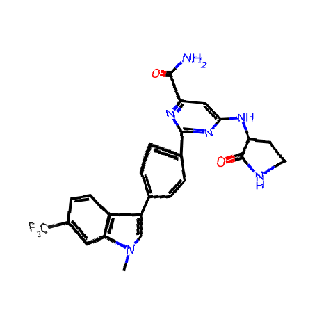 Cn1cc(-c2ccc(-c3nc(NC4CCNC4=O)cc(C(N)=O)n3)cc2)c2ccc(C(F)(F)F)cc21